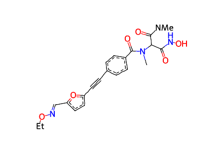 CCO/N=C/c1ccc(C#Cc2ccc(C(=O)N(C)C(C(=O)NC)C(=O)NO)cc2)o1